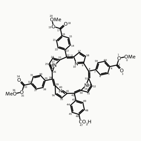 COOC(=O)c1ccc(-c2c3nc(c(-c4ccc(C(=O)OOC)cc4)c4ccc([nH]4)c(-c4ccc(C(=O)OOC)cc4)c4nc(c(-c5ccc(C(=O)O)cc5)c5ccc2[nH]5)C=C4)C=C3)cc1